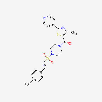 Cc1nc(-c2ccncc2)sc1C(=O)N1CCN(S(=O)(=O)/C=C/c2ccc(C(F)(F)F)cc2)CC1